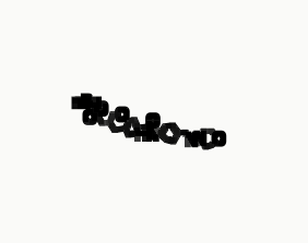 CCCCOC(=O)CC1COc2cc(C(=O)Nc3ccc(C=NN4CCOCC4)cc3)ccc2C1